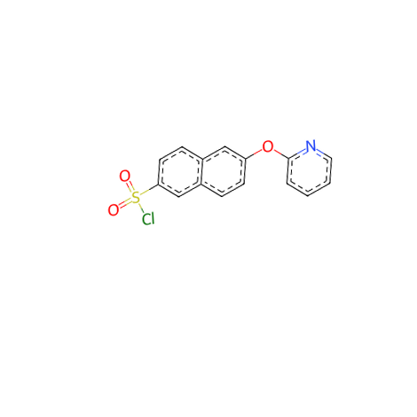 O=S(=O)(Cl)c1ccc2cc(Oc3ccccn3)ccc2c1